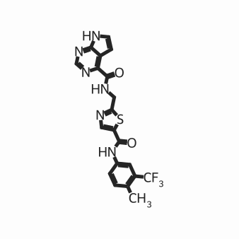 Cc1ccc(NC(=O)c2cnc(CNC(=O)c3ncnc4[nH]ccc34)s2)cc1C(F)(F)F